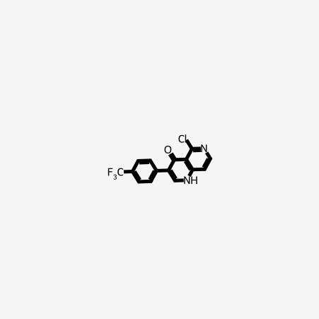 O=c1c(-c2ccc(C(F)(F)F)cc2)c[nH]c2ccnc(Cl)c12